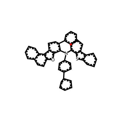 c1ccc(-c2ccc(N(c3c(-c4ccccc4)ccc4c3oc3ccc5ccccc5c34)c3cccc4c3sc3ccccc34)cc2)cc1